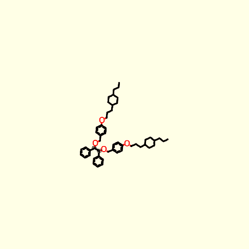 CCCC1CCC(CCCOc2ccc(CO[C@H](c3ccccc3)[C@H](OCc3ccc(OCCCC4CCC(CCC)CC4)cc3)c3ccccc3)cc2)CC1